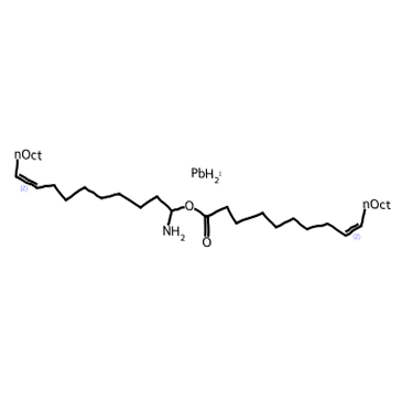 CCCCCCCC/C=C\CCCCCCCC(=O)OC(N)CCCCCCC/C=C\CCCCCCCC.[PbH2]